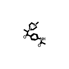 CC(=O)Nc1ccc(C(=O)C(C)N2CCN(C)CC2)cc1